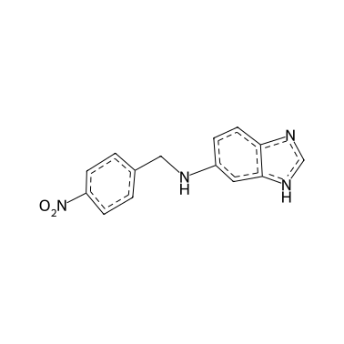 O=[N+]([O-])c1ccc(CNc2ccc3nc[nH]c3c2)cc1